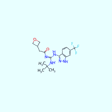 CC(C)(C)N/C(=N/C(=O)CC1COC1)Nc1n[nH]c2cc(C(F)(F)F)ccc12